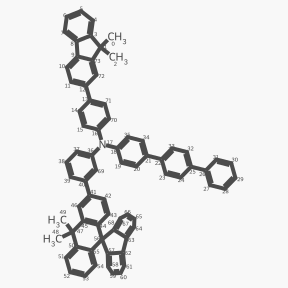 CC1(C)c2ccccc2-c2ccc(-c3ccc(N(c4ccc(-c5ccc(-c6ccccc6)cc5)cc4)c4cccc(-c5ccc6c(c5)C(C)(C)c5ccccc5C65c6ccccc6-c6ccccc65)c4)cc3)cc21